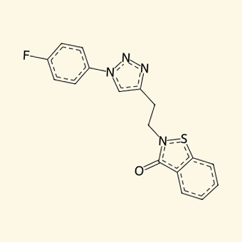 O=c1c2ccccc2sn1CCc1cn(-c2ccc(F)cc2)nn1